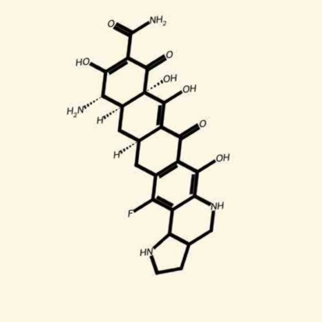 NC(=O)C1=C(O)[C@@H](N)[C@@H]2C[C@@H]3Cc4c(F)c5c(c(O)c4C(=O)C3=C(O)[C@]2(O)C1=O)NCC1CCNC51